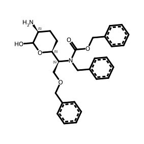 N[C@H]1CC[C@@H]([C@H](COCc2ccccc2)N(Cc2ccccc2)C(=O)OCc2ccccc2)OC1O